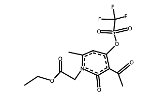 CCOC(=O)Cn1c(C)cc(OS(=O)(=O)C(F)(F)F)c(C(C)=O)c1=O